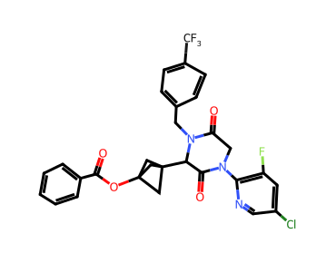 O=C(OC12CC(C3C(=O)N(c4ncc(Cl)cc4F)CC(=O)N3Cc3ccc(C(F)(F)F)cc3)(C1)C2)c1ccccc1